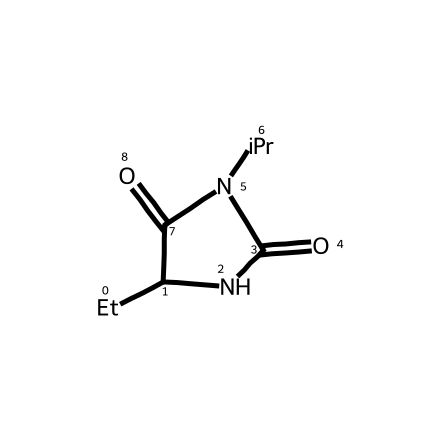 CCC1NC(=O)N(C(C)C)C1=O